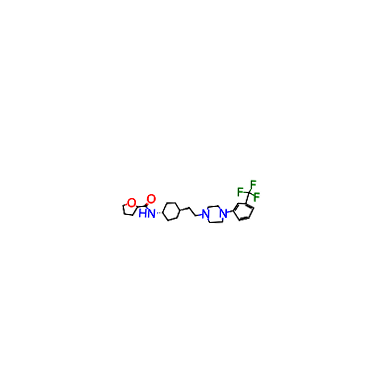 O=C(N[C@H]1CC[C@H](CCN2CCN(c3cccc(C(F)(F)F)c3)CC2)CC1)C1CCCO1